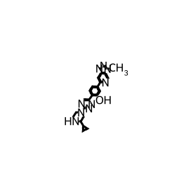 Cn1nnc2cc(-c3ccc(-c4cnc(N5CCNC(C6CC6)C5)nn4)c(O)c3)ncc21